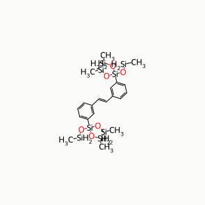 C[SiH2]O[Si](O[SiH2]C)(O[SiH2]C)c1cccc(/C=C/c2cccc([Si](O[SiH2]C)(O[SiH2]C)O[SiH2]C)c2)c1